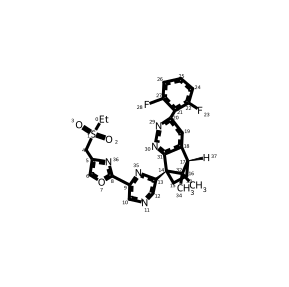 CCS(=O)(=O)Cc1coc(-c2cncc([C@@]34CC[C@@H](c5cc(-c6c(F)cccc6F)nnc53)C4(C)C)n2)n1